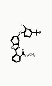 COC(=O)c1ccccc1-c1nc2cc(Oc3ccc(C(F)(F)F)cc3Cl)ccc2o1